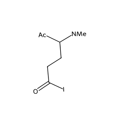 CNC(CCC(=O)I)C(C)=O